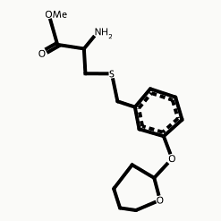 COC(=O)C(N)CSCc1cccc(OC2CCCCO2)c1